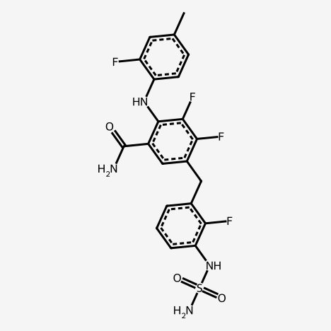 Cc1ccc(Nc2c(C(N)=O)cc(Cc3cccc(NS(N)(=O)=O)c3F)c(F)c2F)c(F)c1